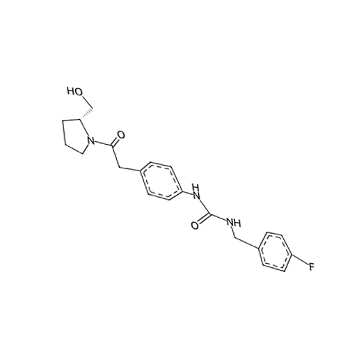 O=C(NCc1ccc(F)cc1)Nc1ccc(CC(=O)N2CCC[C@@H]2CO)cc1